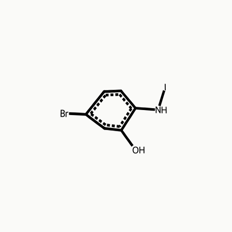 Oc1cc(Br)ccc1NI